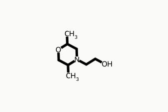 CC1CN(CCO)C(C)CO1